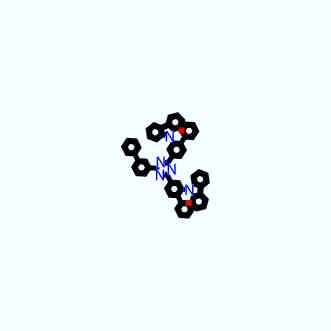 c1ccc(-c2cccc(-c3nc(-c4ccc(-c5ccccc5)c(-n5c6ccccc6c6ccccc65)c4)nc(-c4ccc(-c5ccccc5)c(-n5c6ccccc6c6ccccc65)c4)n3)c2)cc1